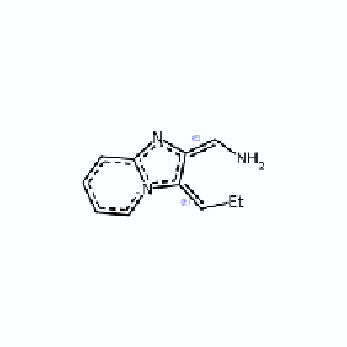 CC/C=c1\c(=C/N)nc2ccccn12